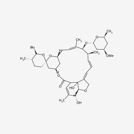 CC[C@H](C)C1O[C@]2(CC[C@@H]1C)C[C@@H]1C[C@@H](C/C=C(\C)[C@@H](O[C@H]3C[C@H](OC)C[C@H](C)O3)[C@@H](C)/C=C/C=C3\CO[C@@H]4[C@H](O)C(C)=CC(C(=O)O1)C34O)O2